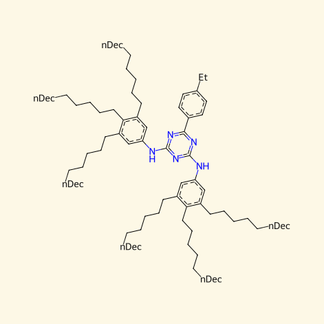 CCCCCCCCCCCCCCCc1cc(Nc2nc(Nc3cc(CCCCCCCCCCCCCCC)c(CCCCCCCCCCCCCCC)c(CCCCCCCCCCCCCCC)c3)nc(-c3ccc(CC)cc3)n2)cc(CCCCCCCCCCCCCCC)c1CCCCCCCCCCCCCCC